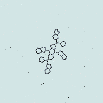 c1ccc(N(c2ccc3ccccc3c2)c2ccc3c(-c4ccc5ccccc5c4)c4cc(N(c5ccccc5)c5ccc6ccccc6c5)ccc4c(-c4ccc5ccccc5c4)c3c2)cc1